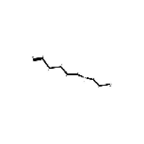 [CH2]CCSCCCCC=C